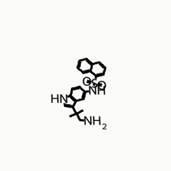 CC(C)(CN)c1c[nH]c2ccc(NS(=O)(=O)c3cccc4ccccc34)cc12